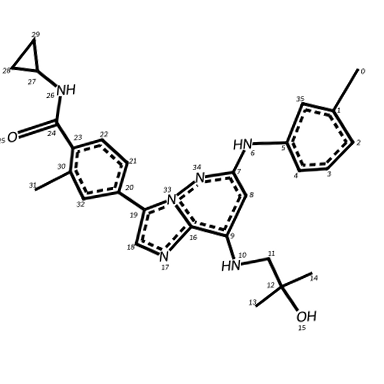 Cc1cccc(Nc2cc(NCC(C)(C)O)c3ncc(-c4ccc(C(=O)NC5CC5)c(C)c4)n3n2)c1